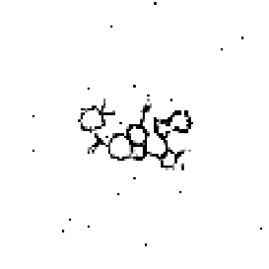 N#Cc1cc2c3c(c1)c(C1=C(c4cnc5ccccn45)C(=O)NC1)cn3CCN(C(=O)N1CCOCC(F)(F)C1)C2